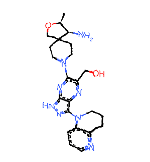 C[C@@H]1OCC2(CCN(c3nc4[nH]nc(N5CCCc6ncccc65)c4nc3CO)CC2)[C@@H]1N